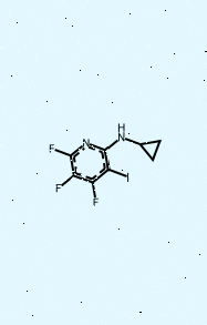 Fc1nc(NC2CC2)c(I)c(F)c1F